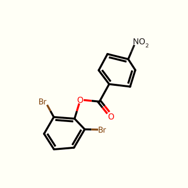 O=C(Oc1c(Br)cccc1Br)c1ccc([N+](=O)[O-])cc1